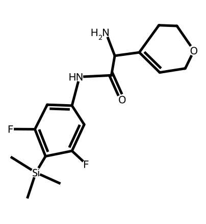 C[Si](C)(C)c1c(F)cc(NC(=O)C(N)C2=CCOCC2)cc1F